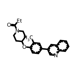 CCC(=O)N1CCC(Oc2ccc(-c3cnc4ccccc4c3)cc2C)CC1